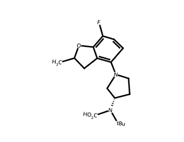 CC1Cc2c(N3CC[C@H](N(C(=O)O)C(C)(C)C)C3)ccc(F)c2O1